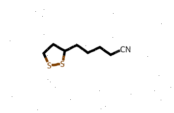 N#CCCCCC1CCSS1